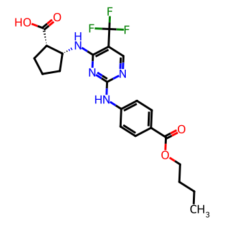 CCCCOC(=O)c1ccc(Nc2ncc(C(F)(F)F)c(N[C@@H]3CCC[C@@H]3C(=O)O)n2)cc1